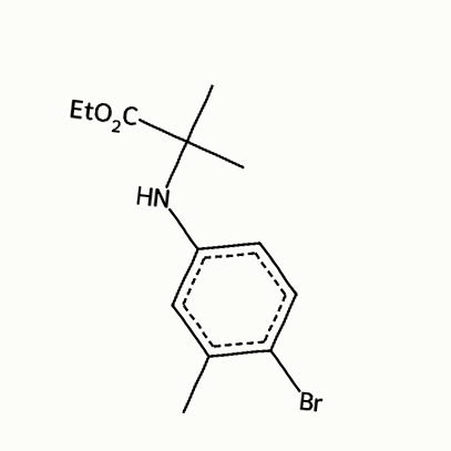 CCOC(=O)C(C)(C)Nc1ccc(Br)c(C)c1